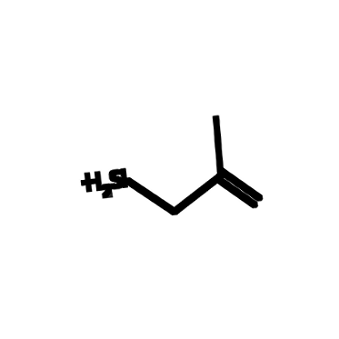 C=C(C)C[SiH2]